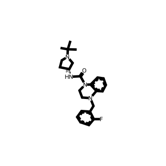 CC(C)(C)N1CC[C@@H](NC(=O)N2CCN(Cc3ccccc3F)c3ccccc32)C1